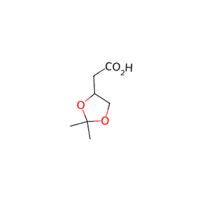 CC1(C)OCC(CC(=O)O)O1